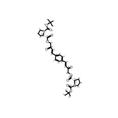 CC(C)(C)OC(=O)N1CCC[C@H]1C(=O)OCC(=O)/C=C/c1ccc(/C=C/C(=O)COC(=O)[C@@H]2CCCN2C(=O)OC(C)(C)C)cc1